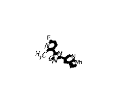 Cc1nc(F)ccc1-c1nc(-c2cnc3[nH]ccc3c2)no1